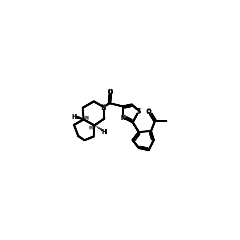 CC(=O)c1ccccc1-c1nc(C(=O)N2CC[C@H]3CCCC[C@@H]3C2)cs1